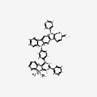 C=C/C=C\c1c(C)n(-c2ccccc2)c2cc3c4ccccc4n(-c4ccc(-c5nc(-c6ccccc6)nc6c5-c5ccccc5[Si]6(C)C)cc4)c3cc12